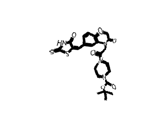 CC(C)(C)OC(=O)N1CCN(C(=O)CN2C(=O)COc3ccc(/C=C4/SC(=S)NC4=O)cc32)CC1